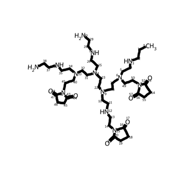 CCCNCCN(CCN(CCNCCN1C(=O)CCC1=O)CCN(CCNCCN)CCN(CCNCCN)CCN1C(=O)CCC1=O)CCN1C(=O)CCC1=O